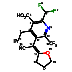 CC(C)Cc1c(C(=O)O)c(C(F)F)nc(C(F)(F)F)c1/C(C#N)=C1/CCCO1